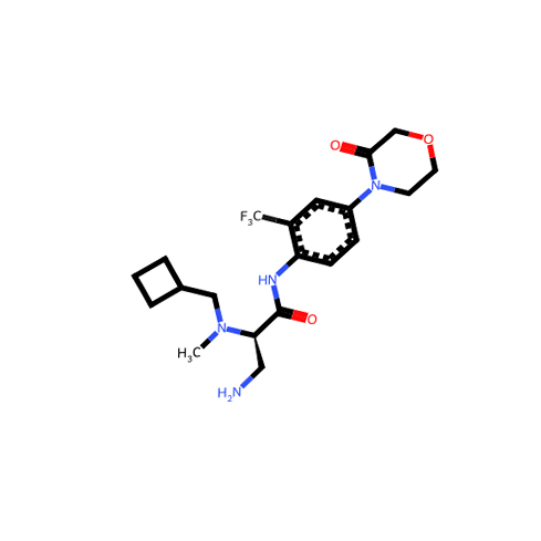 CN(CC1CCC1)[C@H](CN)C(=O)Nc1ccc(N2CCOCC2=O)cc1C(F)(F)F